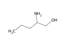 [CH2]CCC(N)CO